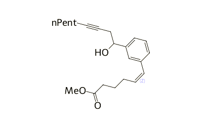 CCCCCC#CCC(O)c1cccc(/C=C\CCCC(=O)OC)c1